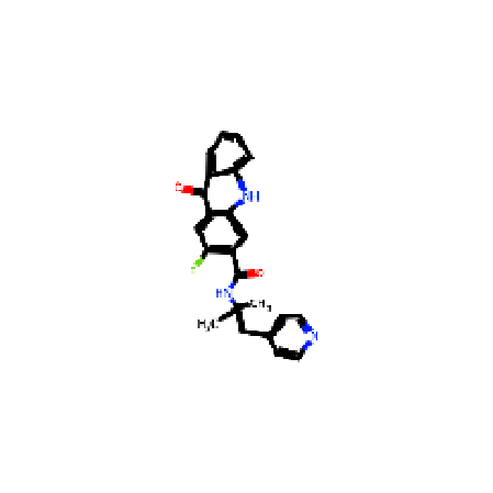 CC(C)(Cc1ccncc1)NC(=O)c1cc2[nH]c3ccccc3c(=O)c2cc1F